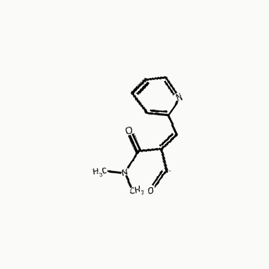 CN(C)C(=O)C([C]=O)=Cc1ccccn1